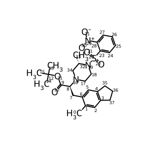 Cc1cc2c(cc1C[C@@H](C(=O)OC(C)(C)C)N1CCN(S(=O)(=O)c3ccccc3[N+](=O)[O-])[C@@H](C)C1)CCC2